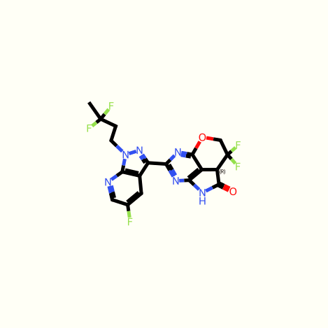 CC(F)(F)CCn1nc(-c2nc3c4c(n2)OCC(F)(F)[C@@]4(C)C(=O)N3)c2cc(F)cnc21